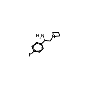 N[C@H](CN1CCC1)c1ccc(F)cc1